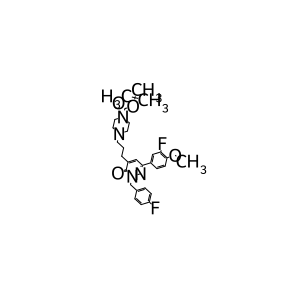 COc1ccc(-c2cc(CCCN3CCN(C(=O)OC(C)(C)C)CC3)c(=O)n(Cc3ccc(F)cc3)n2)cc1F